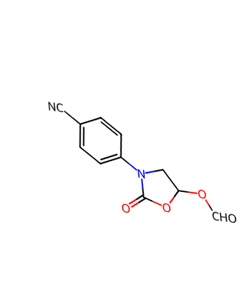 N#Cc1ccc(N2CC(OC=O)OC2=O)cc1